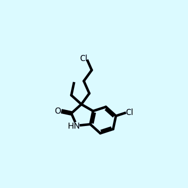 CCC1(CCCCl)C(=O)Nc2ccc(Cl)cc21